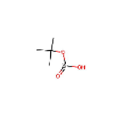 CC(C)(C)[O][Zr](=[O])[OH]